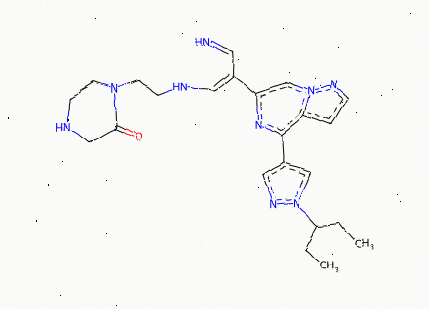 CCC(CC)n1cc(-c2nc(/C(C=N)=C/NCCN3CCNCC3=O)cn3nccc23)cn1